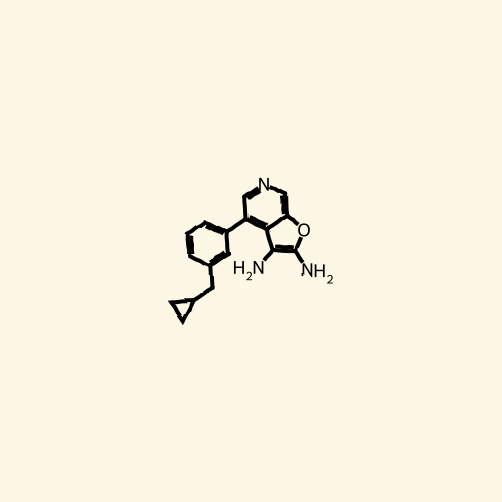 Nc1oc2cncc(-c3cccc(CC4CC4)c3)c2c1N